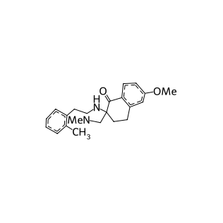 CNCC1(NCCc2ccccc2C)CCc2cc(OC)ccc2C1=O